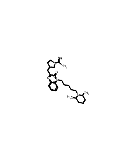 CC1CCCC(C)N1CCCCCn1c(=O)c(CC2CCN(C(=N)N)C2)nc2ccccc21